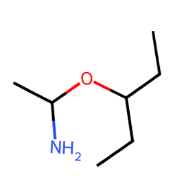 CCC(CC)OC(C)N